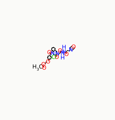 CC(=O)OCCOc1ccc(C(=O)N2CC(=O)N(CC(=O)NNC(=O)CCN3CCOCC3)Cc3ccccc32)c(Cl)c1